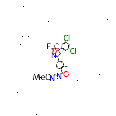 CON=CN(C)C(=O)c1ccc(C2=NOC(c3cc(Cl)cc(Cl)c3)(C(F)(F)F)C2)cc1C